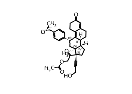 CC(=O)OCC(=O)[C@@]1(C#CCO)CC[C@H]2[C@@H]3CCC4=CC(=O)CCC4=C3[C@@H](c3ccc([S+](C)[O-])cc3)C[C@@]21C